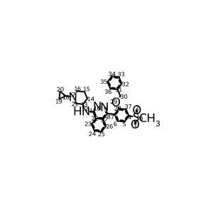 CS(=O)(=O)c1ccc(-c2nnc(N[C@@H]3CCCN(C4CC4)C3)c3ccccc23)c(OCc2ccccc2)c1